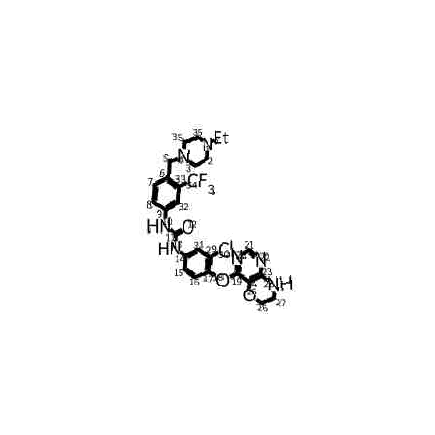 CCN1CCN(Cc2ccc(NC(=O)Nc3ccc(Oc4ncnc5c4OCCN5)c(Cl)c3)cc2C(F)(F)F)CC1